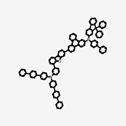 c1ccc(-c2ccc(-c3ccc(N(c4ccc(-c5ccc(-c6ccccc6)cc5)cc4)c4cccc(-c5cccc6c5oc5cc(-c7ccc8c9ccc(N(c%10ccc(-c%11ccccc%11)cc%10)c%10ccc%11c(c%10)C(c%10ccccc%10)(c%10ccccc%10)c%10ccccc%10-%11)cc9c9ccccc9c8c7)ccc56)c4)cc3)cc2)cc1